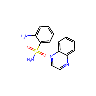 Nc1ccccc1S(N)(=O)=O.c1ccc2nccnc2c1